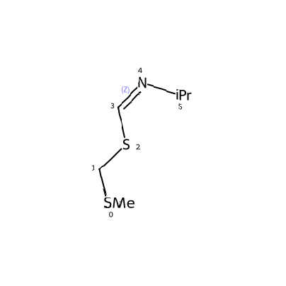 CSCS/C=N\C(C)C